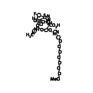 COCCOCCOCCOCCOCCOCCOCCOc1ccc(-c2nccc(COc3ccc4cc3C[C@H](C(=O)O)Oc3ncnc5sc(-c6ccc(F)cc6)c(c35)-c3c(C)c(Cl)c(c(Cl)c3C)O[C@H](CN3CCN(C)CC3)CO4)n2)cc1